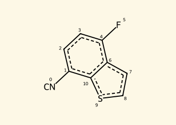 [C-]#[N+]c1ccc(F)c2ccsc12